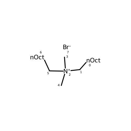 CCCCCCCCC[N+](C)(C)CCCCCCCCC.[Br-]